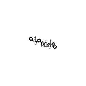 Nc1ncc(-c2cccc(C(=O)NCc3ccccc3)c2)nc1C(=O)NCCNS(=O)(=O)c1ccccn1